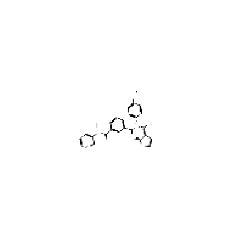 COc1ccc(N2C(N)=c3ccoc3=NC2c2cccc(C(=O)Nc3cccnc3)c2)cc1